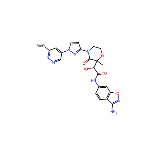 COc1cc(-n2ccc(N3CCOC(C)(C(O)C(=O)Nc4ccc5c(N)noc5c4)C3=O)n2)cnn1